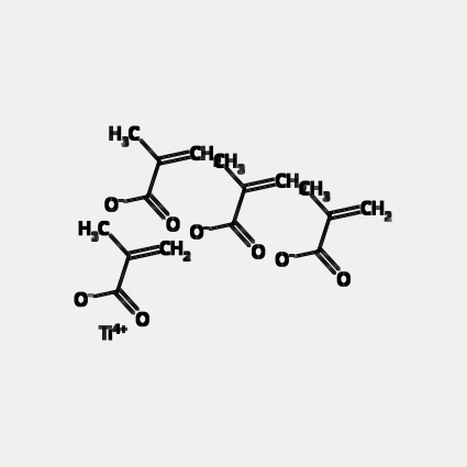 C=C(C)C(=O)[O-].C=C(C)C(=O)[O-].C=C(C)C(=O)[O-].C=C(C)C(=O)[O-].[Ti+4]